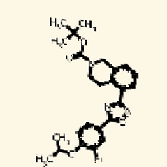 CC(C)Oc1ccc(-c2nc(-c3cccc4c3CCN(C(=O)OC(C)(C)C)C4)no2)cc1Cl